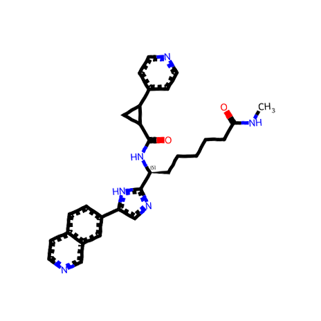 CNC(=O)CCCCC[C@H](NC(=O)C1CC1c1ccncc1)c1ncc(-c2ccc3ccncc3c2)[nH]1